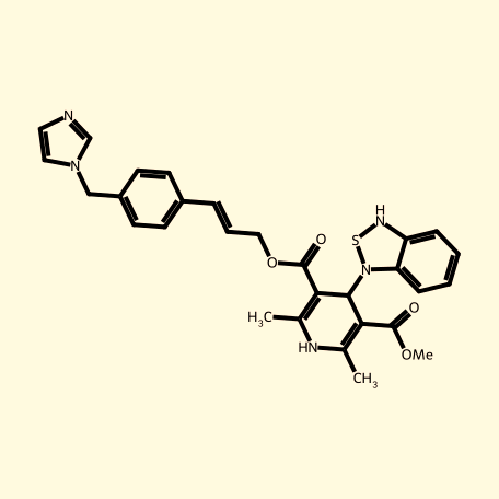 COC(=O)C1=C(C)NC(C)=C(C(=O)OC/C=C/c2ccc(Cn3ccnc3)cc2)C1N1SNc2ccccc21